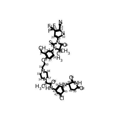 CCc1cc(N2C(=S)N(c3cnc(C#N)c(C(F)(F)F)c3)C(=O)C2(C)C)ccc1OCCN1CCN([C@@H](C)C(=O)Nc2cc(Cl)cc(NC3CCC(=O)NC3=O)c2)CC1